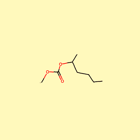 [CH2]OC(=O)OC(C)CCCC